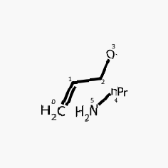 C=CC[O].CCCN